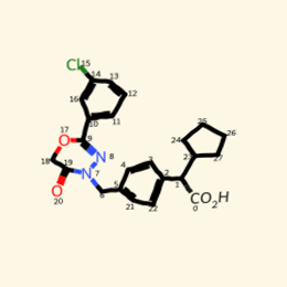 O=C(O)C(c1ccc(CN2N=C(c3cccc(Cl)c3)OCC2=O)cc1)C1CCCC1